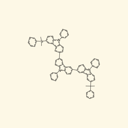 CC(C)(c1ccccc1)c1ccc2c(c1)c1cc(-c3ccc4c(c3)c3cc(-c5ccc6c(c5)c5cc([Si](C)(C)c7ccccc7)ccc5n6-c5ccccc5)ccc3n4-c3ccccc3)ccc1n2-c1ccccc1